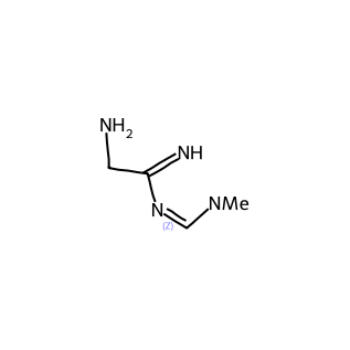 CN/C=N\C(=N)CN